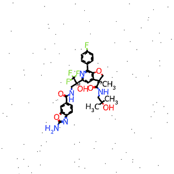 CC(C)(O)CNC(=O)[C@@]1(C)COc2c1cc([C@@](O)(CNC(=O)c1ccc3nc(N)oc3c1)C(F)(F)F)nc2-c1ccc(F)cc1